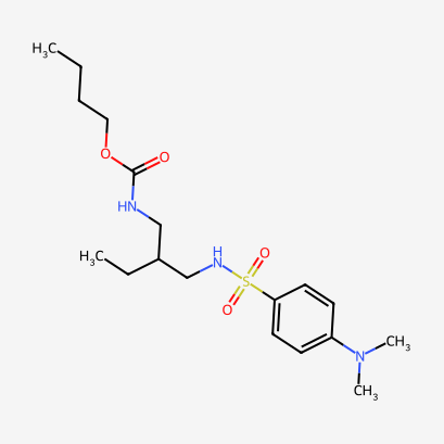 CCCCOC(=O)NCC(CC)CNS(=O)(=O)c1ccc(N(C)C)cc1